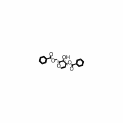 O=C(OC[C@H]1OC=C[C@@H](OC(=O)c2ccccc2)[C@@H]1O)c1ccccc1